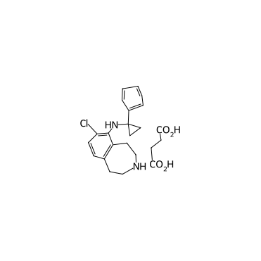 Clc1ccc2c(c1NC1(c3ccccc3)CC1)CCNCC2.O=C(O)CCC(=O)O